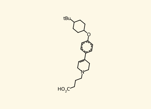 CC(C)(C)C1CCC(Oc2ccc(C3=CCN(CCCC(=O)O)CC3)cc2)CC1